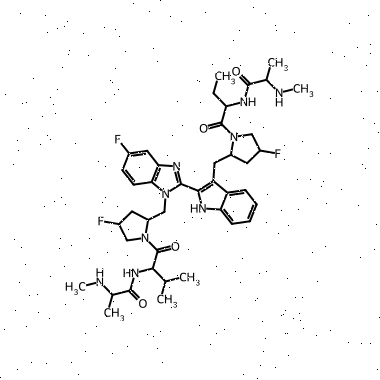 CCC(NC(=O)C(C)NC)C(=O)N1CC(F)CC1Cc1c(-c2nc3cc(F)ccc3n2CC2CC(F)CN2C(=O)C(NC(=O)C(C)NC)C(C)C)[nH]c2ccccc12